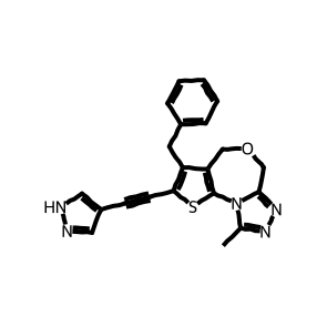 Cc1nnc2n1-c1sc(C#Cc3cn[nH]c3)c(Cc3ccccc3)c1COC2